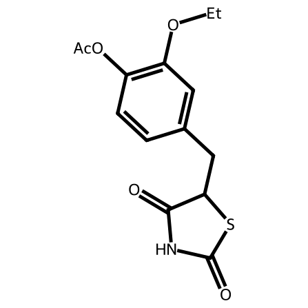 CCOc1cc(CC2SC(=O)NC2=O)ccc1OC(C)=O